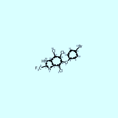 FC(F)(F)c1nc2c(Cl)c(Oc3ccc(Br)cc3)c(Cl)c(Cl)c2[nH]1